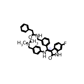 CN(C)Cc1ccc(N/C(=C2\C(=O)Nc3cc(F)ccc32)c2cccc(CNC(=O)Cc3ccccc3)c2)cc1